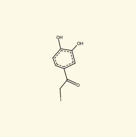 O=C(CI)c1ccc(O)c(O)c1